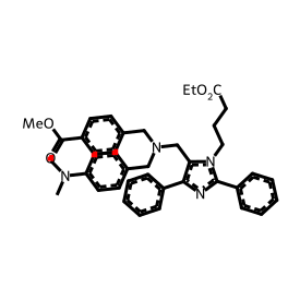 CCOC(=O)CCCn1c(-c2ccccc2)nc(-c2ccccc2)c1CN(Cc1ccc(C(=O)OC)cc1)Cc1ccc(N(C)C)cc1